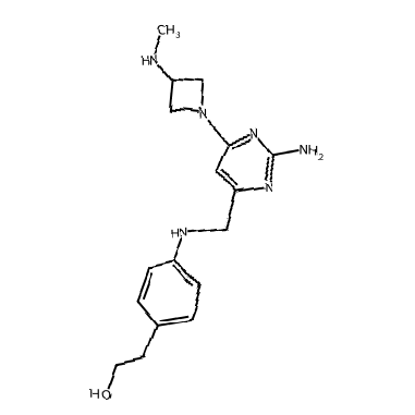 CNC1CN(c2cc(CNc3ccc(CCO)cc3)nc(N)n2)C1